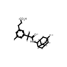 Cc1cc(CCC(=O)O)cc(C(C)(C)C(=O)NC2C3CC4CC2CC(F)(C4)C3)c1